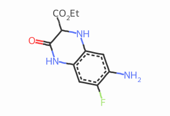 CCOC(=O)C1Nc2cc(N)c(F)cc2NC1=O